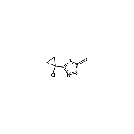 O=c1oc(C2(Cl)CC2)ns1